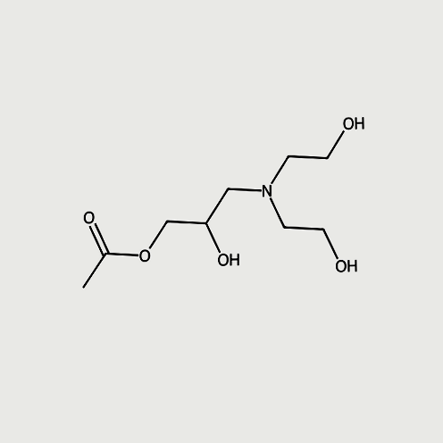 CC(=O)OCC(O)CN(CCO)CCO